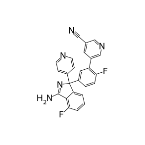 N#Cc1cncc(-c2cc(C3(c4ccncc4)N=C(N)c4c(F)cccc43)ccc2F)c1